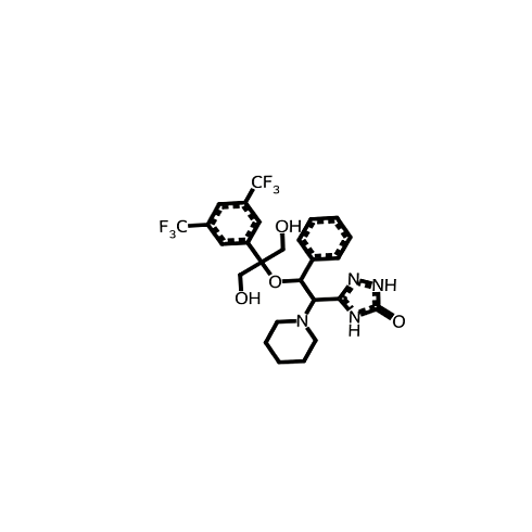 O=c1[nH]nc(C(C(OC(CO)(CO)c2cc(C(F)(F)F)cc(C(F)(F)F)c2)c2ccccc2)N2CCCCC2)[nH]1